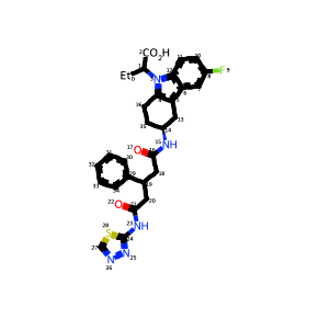 CCC(C(=O)O)n1c2c(c3cc(F)ccc31)C[C@@H](NC(=O)CC(CC(=O)Nc1nncs1)c1ccccc1)CC2